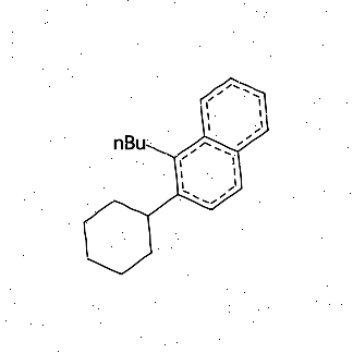 [CH2]CCCc1c(C2CCCCC2)ccc2ccccc12